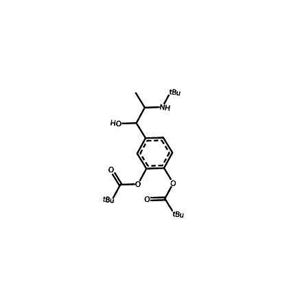 CC(NC(C)(C)C)C(O)c1ccc(OC(=O)C(C)(C)C)c(OC(=O)C(C)(C)C)c1